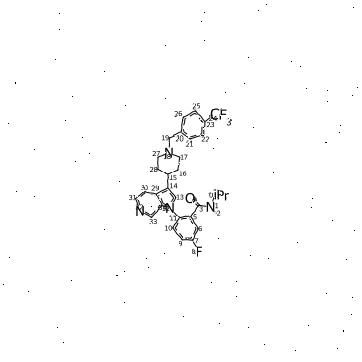 CC(C)N(C)C(=O)c1cc(F)ccc1-n1cc(C2CCN(Cc3ccc(C(F)(F)F)cc3)CC2)c2ccncc21